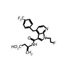 C=C(CC(=O)O)NC(=O)c1cn(CCF)c2nccc(Cc3ccc(C(F)(F)F)cc3)c12